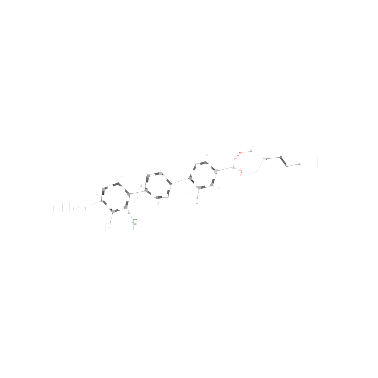 C/C=C/C1COC(c2ccc(-c3ccc(-c4ccc(CCCCCC)c(F)c4F)cc3)c(F)c2)OC1